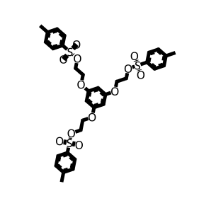 Cc1ccc(S(=O)(=O)OCCOc2cc(OCCOS(=O)(=O)c3ccc(C)cc3)cc(OCCOS(=O)(=O)c3ccc(C)cc3)c2)cc1